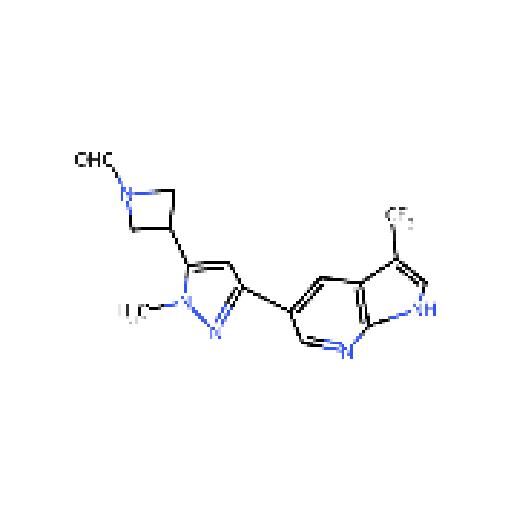 Cn1nc(-c2cnc3[nH]cc(C(F)(F)F)c3c2)cc1C1CN(C=O)C1